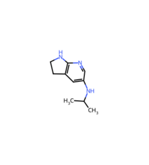 CC(C)Nc1cnc2c(c1)CCN2